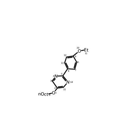 CCCCCCCCOc1cnc(-c2ccc(OCC)cc2)nc1